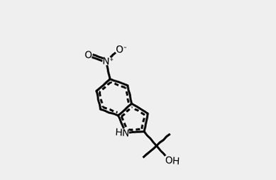 CC(C)(O)c1cc2cc([N+](=O)[O-])ccc2[nH]1